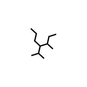 CCCC(C(C)C)C(C)CC